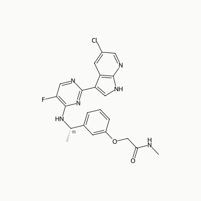 CNC(=O)COc1cccc([C@H](C)Nc2nc(-c3c[nH]c4ncc(Cl)cc34)ncc2F)c1